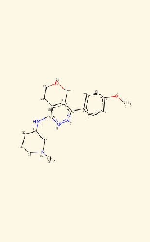 COc1ccc(-c2nnc(NC3CCCN(C)C3)c3c2COCC3)cc1